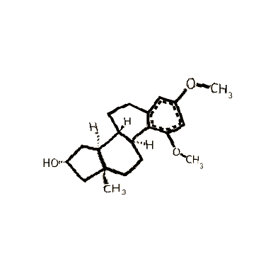 COc1cc2c(c(OC)c1)[C@H]1CC[C@]3(C)C[C@H](O)C[C@H]3[C@@H]1CC2